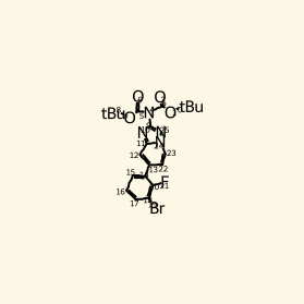 CC(C)(C)OC(=O)N(C(=O)OC(C)(C)C)c1nc2cc(-c3cccc(Br)c3F)ccn2n1